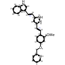 COc1cc(OCc2ccccn2)ccc1/C=C/c1cc(/C=C/c2c[nH]c3ccccc23)[nH]n1